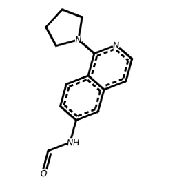 O=CNc1ccc2c(N3CCCC3)nccc2c1